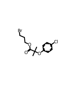 CC(C)(Oc1ccc(Cl)cc1)C(=O)OCCCBr